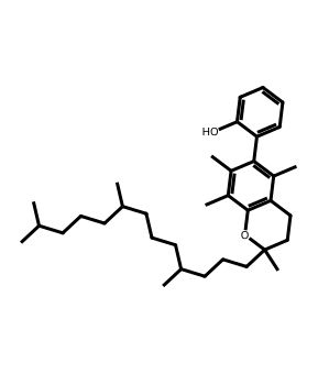 Cc1c(C)c(-c2ccccc2O)c(C)c2c1OC(C)(CCCC(C)CCCC(C)CCCC(C)C)CC2